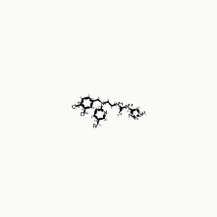 S=C(NCCN(Cc1ccc(Cl)c(Cl)c1)c1ccc(Br)cn1)Nc1c[nH]nn1